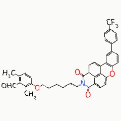 Cc1ccc(OCCCCCCn2c(=O)c3ccc4oc5ccc(-c6ccc(C(F)(F)F)cc6)cc5c5ccc(c2=O)c3c45)c(C)c1C=O